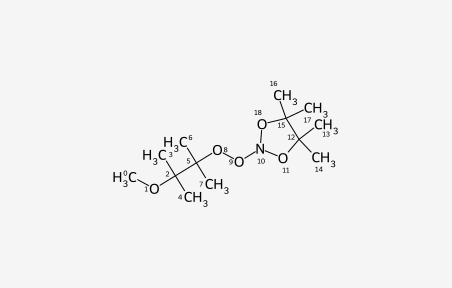 COC(C)(C)C(C)(C)OON1OC(C)(C)C(C)(C)O1